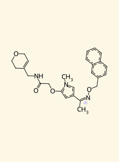 C/C(=N/OCc1ccc2ccccc2c1)c1cc(OCC(=O)NCC2=CCOCC2)n(C)c1